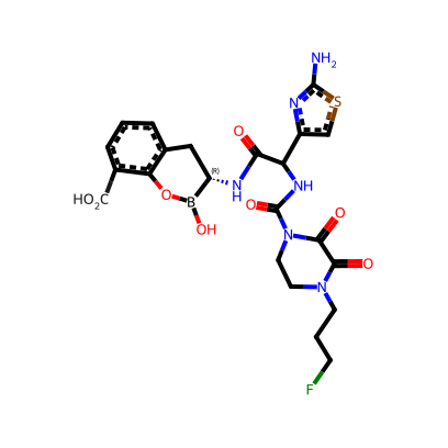 Nc1nc(C(NC(=O)N2CCN(CCCF)C(=O)C2=O)C(=O)N[C@H]2Cc3cccc(C(=O)O)c3OB2O)cs1